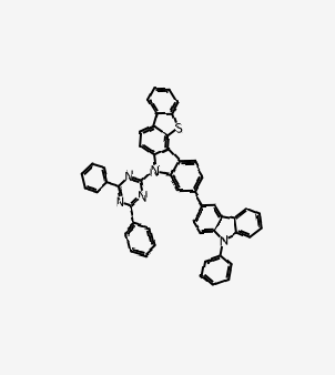 c1ccc(-c2nc(-c3ccccc3)nc(-n3c4cc(-c5ccc6c(c5)c5ccccc5n6-c5ccccc5)ccc4c4c5sc6ccccc6c5ccc43)n2)cc1